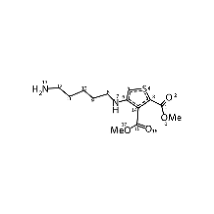 COC(=O)c1scc(NCCCCCN)c1C(=O)OC